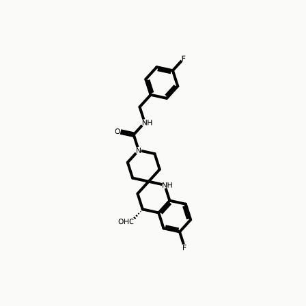 O=C[C@@H]1CC2(CCN(C(=O)NCc3ccc(F)cc3)CC2)Nc2ccc(F)cc21